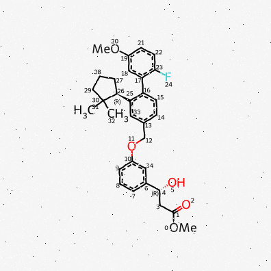 COC(=O)C[C@@H](O)c1cccc(OCc2ccc(-c3cc(OC)ccc3F)c([C@@H]3CCCC3(C)C)c2)c1